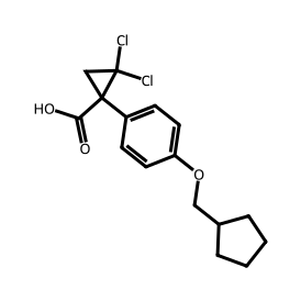 O=C(O)C1(c2ccc(OCC3CCCC3)cc2)CC1(Cl)Cl